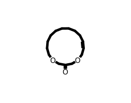 O=C1COCC=CCCCCCCCCCOC1